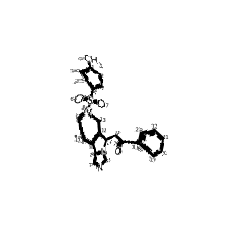 Cc1ccc(S(=O)(=O)N2CCC3=C(C2)C(CC(=O)c2ccccc2)n2cncc23)cc1